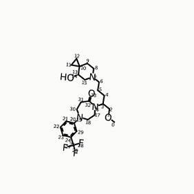 COCC(CCCN1CCC2(CC2)[C@H](O)C1)N1CCN(c2cccc(C(F)(F)F)c2)CCC1=O